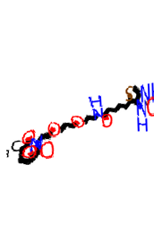 C[C@H]1C(=O)N(CCOCCCOCCCNC(=O)CCCCC2SCC3NC(=O)NC32)C(=O)C2C=CC1O2